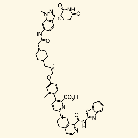 Cc1cc(OC[C@@H](C)CC2CCN(CC(=O)Nc3ccc4c([C@H]5CCC(=O)NC5=O)nn(C)c4c3)CC2)ccc1-c1ccc(N2CCc3ccnc(C(=O)Nc4nc5ccccc5s4)c3C2)nc1C(=O)O